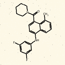 Cc1cccc2c(Nc3cc(F)cc(F)c3)ccc(C(=O)N3CCCCC3)c12